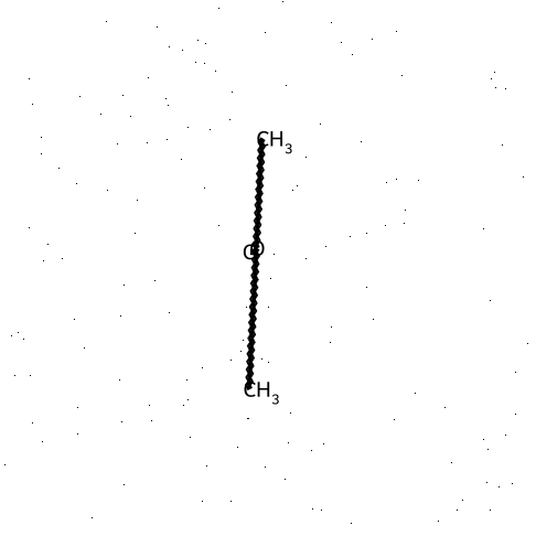 CCCCCCCCCCCCCCCCCCCCCCCCCCCCCCCCCCCC(=O)OCCCCCCCCCCCCCCCCCCCCCCCCCCCC